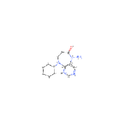 NN1C(=O)CCN(C2CCCCC2)c2ncncc21